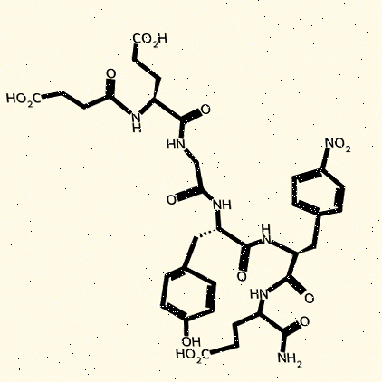 NC(=O)C(CCC(=O)O)NC(=O)[C@H](Cc1ccc([N+](=O)[O-])cc1)NC(=O)[C@H](Cc1ccc(O)cc1)NC(=O)CNC(=O)[C@H](CCC(=O)O)NC(=O)CCC(=O)O